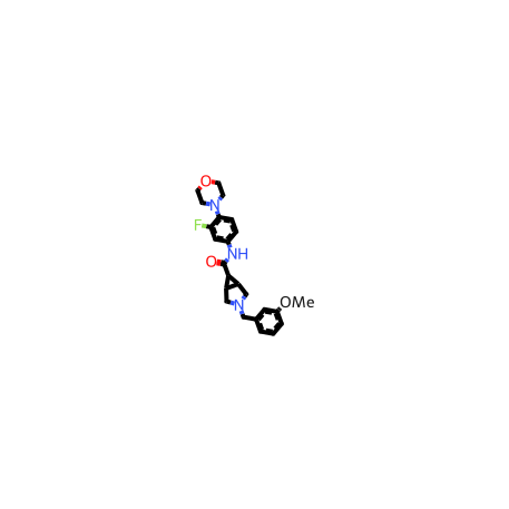 COc1cccc(CN2CC3C(C2)C3C(=O)Nc2ccc(N3CCOCC3)c(F)c2)c1